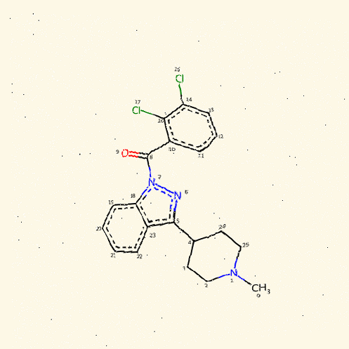 CN1CCC(c2nn(C(=O)c3cccc(Cl)c3Cl)c3ccccc23)CC1